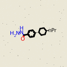 CCC[C@H]1CC[C@H](c2ccc(C(=O)NN)cc2)CC1